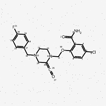 NC(=O)c1cc(Cl)ccc1OCN1CCN(Cc2ccc(F)cc2)CC1=C=O